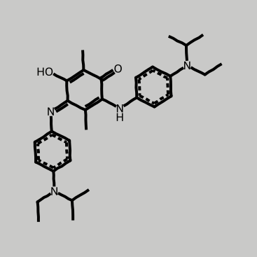 CCN(c1ccc(/N=C2\C(C)=C(Nc3ccc(N(CC)C(C)C)cc3)C(=O)C(C)=C2O)cc1)C(C)C